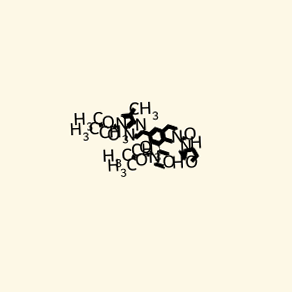 Cc1cn(C(=O)OC(C)(C)C)c2ncc(-c3cc4c(c([C@@H]5COCCN5C(=O)OC(C)(C)C)c3)CN(C(=O)N3C[C@H]5C[C@@H]3CO5)CC4)nc12